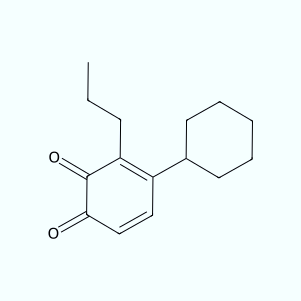 CCCC1=C(C2CCCCC2)C=CC(=O)C1=O